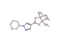 CC1(C)OB(c2cnn(C3CCCOC3)c2)OC1(C)C